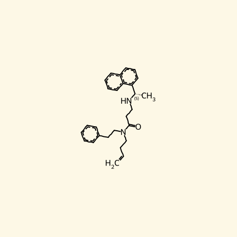 C=CCCN(CCc1ccccc1)C(=O)CCN[C@@H](C)c1cccc2ccccc12